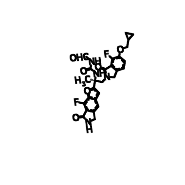 C[C@@](CN1Cc2ccc(OCC3CC3)c(F)c2C1=O)(NC(=O)NC=O)c1cc2cc3c(c(F)c2o1)C(=O)NC3